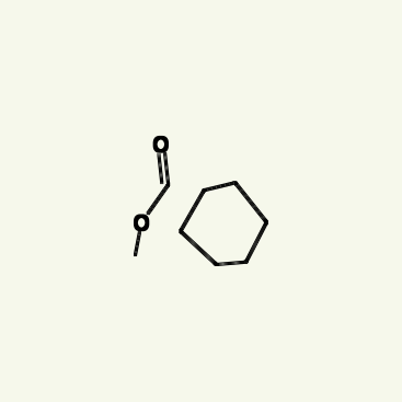 C1CCCCC1.COC=O